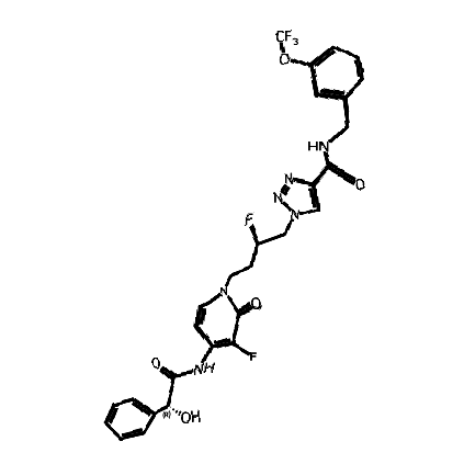 O=C(NCc1cccc(OC(F)(F)F)c1)c1cn(CC(F)CCn2ccc(NC(=O)[C@H](O)c3ccccc3)c(F)c2=O)nn1